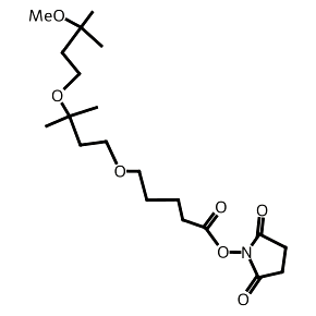 COC(C)(C)CCOC(C)(C)CCOCCCCC(=O)ON1C(=O)CCC1=O